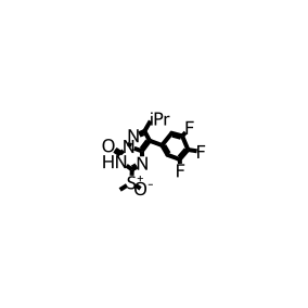 CC(C)c1nn2c(=O)[nH]c([S+](C)[O-])nc2c1-c1cc(F)c(F)c(F)c1